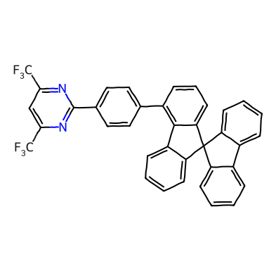 FC(F)(F)c1cc(C(F)(F)F)nc(-c2ccc(-c3cccc4c3-c3ccccc3C43c4ccccc4-c4ccccc43)cc2)n1